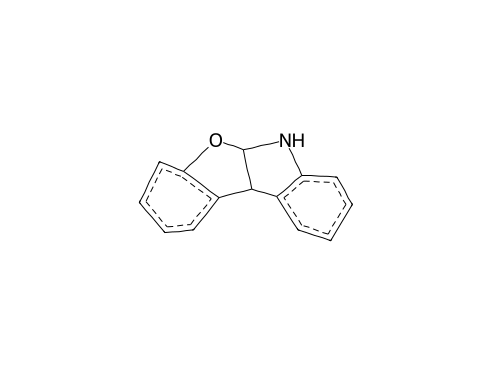 c1ccc2c(c1)NC1Oc3ccccc3C21